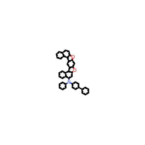 c1ccc(-c2ccc(N(c3ccccc3)c3cc4oc5cc6oc7ccc8ccccc8c7c6cc5c4c4ccccc34)cc2)cc1